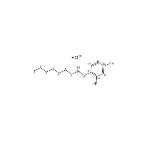 CCCCCCCNCc1ccc(F)cc1F.Cl